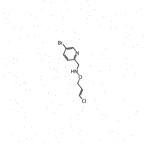 ClC=CCONCc1ccc(Br)cn1